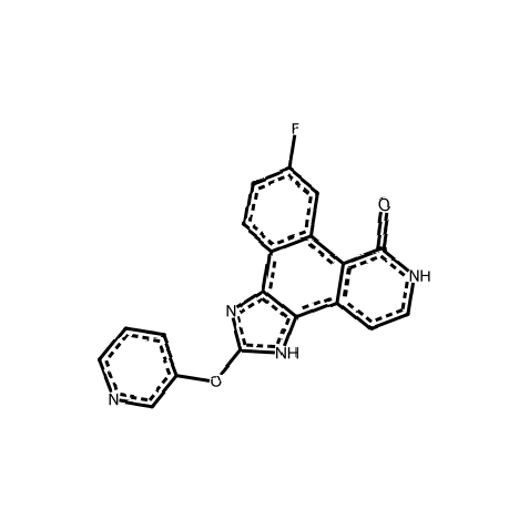 O=c1[nH]ccc2c3[nH]c(Oc4cccnc4)nc3c3ccc(F)cc3c12